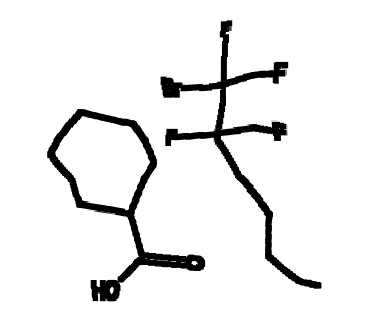 CCCCC(F)(F)C(F)(F)Br.O=C(O)C1CCCCC1